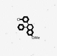 COc1ccc2c(c1)CC[C@H](c1cccc(Cl)c1)[C@@H]2c1ccccc1